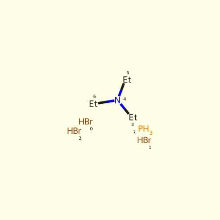 Br.Br.Br.CCN(CC)CC.P